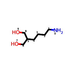 NCCCCC(CO)CO